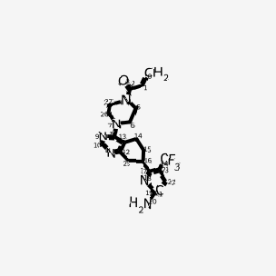 C=CC(=O)N1CCN(c2ncnc3c2CCC(c2nc(N)ccc2C(F)(F)F)C3)CC1